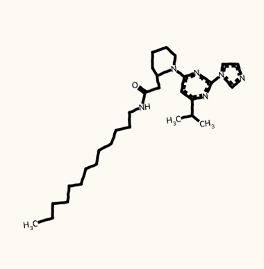 CCCCCCCCCCCCCNC(=O)CC1CCCCN1c1cc(C(C)C)nc(-n2ccnc2)n1